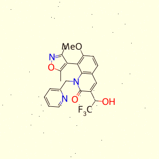 COc1ccc2cc(C(O)C(F)(F)F)c(=O)n(Cc3ccccn3)c2c1-c1c(C)noc1C